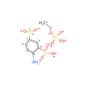 CCOS(=O)(=O)O.Nc1ccc([SH](=O)=O)cc1S(=O)(=O)O